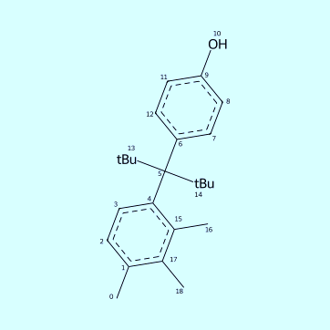 Cc1ccc(C(c2ccc(O)cc2)(C(C)(C)C)C(C)(C)C)c(C)c1C